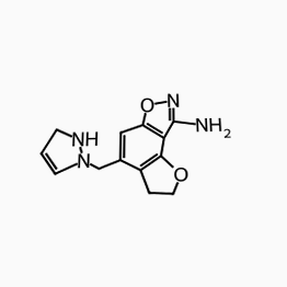 Nc1noc2cc(CN3C=CCN3)c3c(c12)OCC3